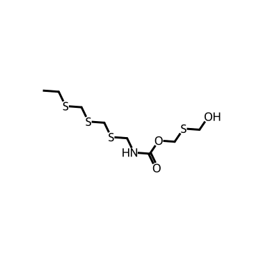 CCSCSCSCNC(=O)OCSCO